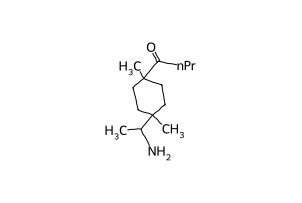 CCCC(=O)C1(C)CCC(C)(C(C)N)CC1